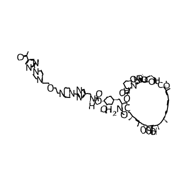 CO[C@H]1C[C@@H]2CC[C@@H](C)[C@@](O)(O2)C(=O)C(=O)N2CCCC[C@H]2C(=O)O[C@H]([C@H](N)C[C@@H]2CC[C@@H](OC(=O)NCc3cnc(N4CCN(CCOCCN5CCN(c6ncc(C(C)=O)cn6)CC5)CC4)nc3)[C@H](OC)C2)C[C@@H](OC)[C@H](C)/C=C(\C)[C@@H](O)[C@@H](O)C(=O)[C@H](C)C[C@H](C)/C=C/C=C/C=C/1C